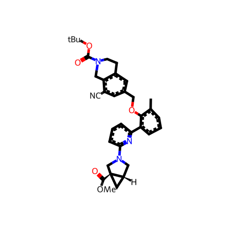 COC(=O)[C@]12C[C@H]1CN(c1cccc(-c3cccc(C)c3OCc3cc(C#N)c4c(c3)CCN(C(=O)OC(C)(C)C)C4)n1)C2